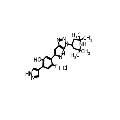 CC1(C)CC(n2nnc3cc(-c4cc(O)c(-c5cn[nH]c5)cc4F)nnc32)CC(C)(C)N1.Cl